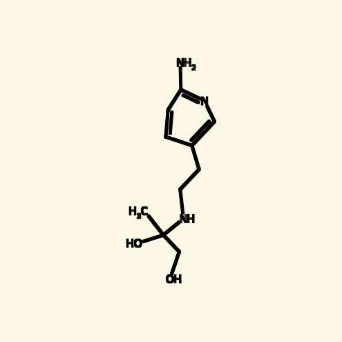 CC(O)(CO)NCCc1ccc(N)nc1